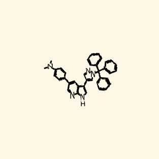 CN(C)c1ccc(-c2cnc3[nH]cc(-c4cnn(C(c5ccccc5)(c5ccccc5)c5ccccc5)c4)c3c2)cc1